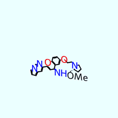 COC[C@H]1CCCN1CCOc1ccc2oc(-c3cc4cccn4cn3)cc(=N)c2c1